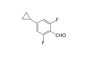 O=Cc1c(F)cc([C]2CC2)cc1F